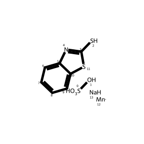 O=S(=O)(O)O.Sc1nc2ccccc2s1.[Mn].[NaH]